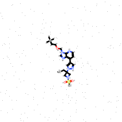 CCS(=O)(=O)N1CC(CC#N)(n2cc(-c3ccnc4c3ncn4COCC[Si](C)(C)C)cn2)C1